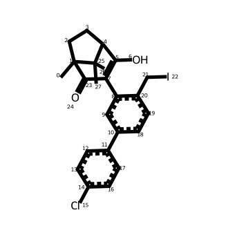 CC12CCC(C(O)=C(c3cc(-c4ccc(Cl)cc4)ccc3CI)C1=O)C2(C)C